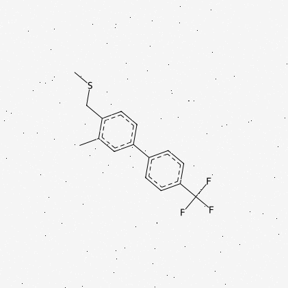 CSCc1ccc(-c2ccc(C(F)(F)F)cc2)cc1C